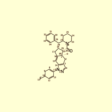 C[C@]12Cc3cnn(C4=CCC(F)C=C4)c3C=C1CC[C@@H]2C(=O)N1CCCCC1Cc1ccccc1